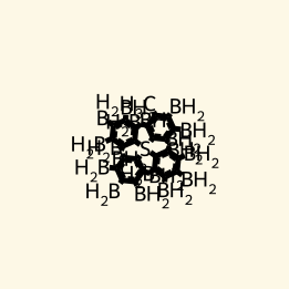 Bc1c(B)c(B)c(S(c2c(B)c(B)c(B)c(B)c2B)(c2c(B)c(B)c(B)c(B)c2B)c2c(B)c(B)c(B)c(C)c2B)c(B)c1B